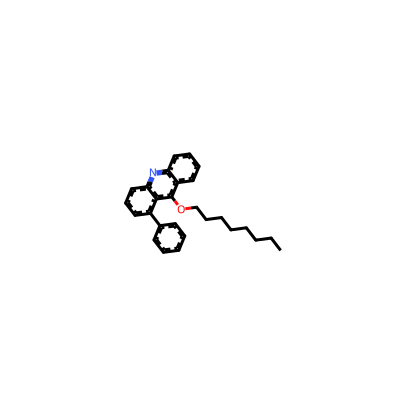 CCCCCCCCOc1c2ccccc2nc2cccc(-c3ccccc3)c12